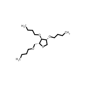 CCCCOC[C@H]1SC[C@@H](OCCCC)[C@@H]1OCCCC